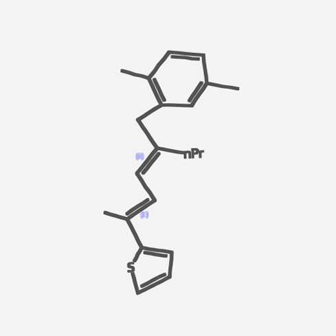 CCC/C(=C\C=C(/C)c1cccs1)Cc1cc(C)ccc1C